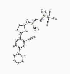 N#Cc1cc(-c2ccccc2)ccc1N1CCC(O/C(N)=C/C=C(\N)C(F)(F)F)C1